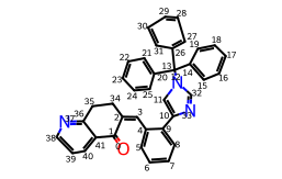 O=C1C(=Cc2ccccc2-c2cn(C(c3ccccc3)(c3ccccc3)c3ccccc3)cn2)CCc2ncccc21